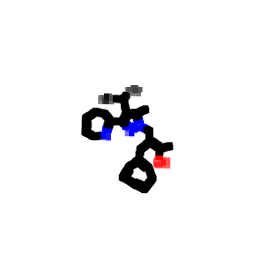 CCCC(CCC)c1c(C2=NCC=CCC2)nn(C/C(CC2=CCC=CC=C2)=C(\C)O)c1C